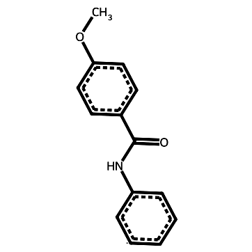 COc1ccc(C(=O)Nc2c[c]ccc2)cc1